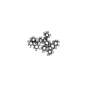 c1ccc(-c2ccccc2N(c2ccccc2)c2ccc3c(c2)c2cc(C4(c5ccccc5)c5ccccc5-c5cc6ccccc6cc54)ccc2n3-c2ccccc2)cc1